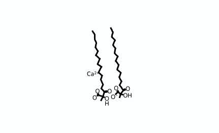 CCCCCCCCCCCCCCCC(=O)C(C)(O)C(=O)[O-].CCCCCCCCCCCCCCCC(=O)C(C)(O)C(=O)[O-].[Ca+2]